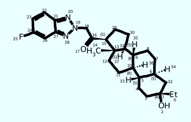 CC[C@@]1(O)CC[C@H]2[C@@H](CC[C@@H]3[C@@H]2CC[C@]2(C)[C@@H](C(=O)Cn4nc5ccc(F)cc5n4)CC[C@@H]32)C1